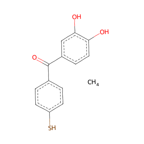 C.O=C(c1ccc(S)cc1)c1ccc(O)c(O)c1